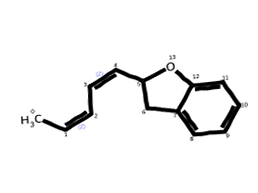 C/C=C\C=C/C1Cc2ccccc2O1